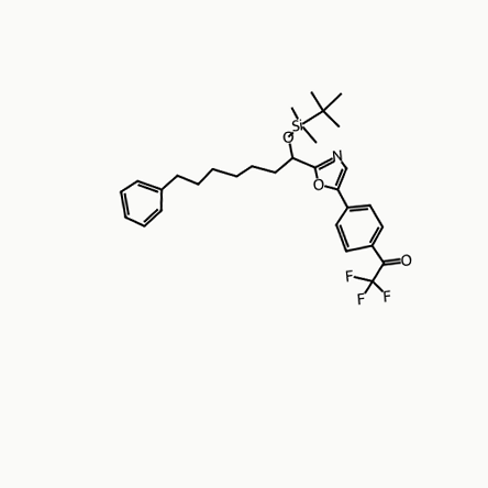 CC(C)(C)[Si](C)(C)OC(CCCCCCc1ccccc1)c1ncc(-c2ccc(C(=O)C(F)(F)F)cc2)o1